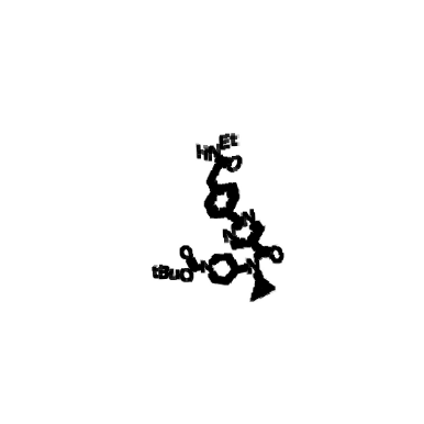 CCNC(=O)Cc1ccc(-c2ncc(C(=O)N(C3CC3)C3CCN(C(=O)OC(C)(C)C)CC3)cn2)cc1